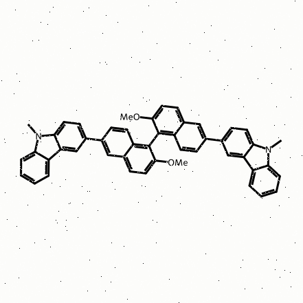 COc1ccc2cc(-c3ccc4c(c3)c3ccccc3n4C)ccc2c1-c1c(OC)ccc2cc(-c3ccc4c(c3)c3ccccc3n4C)ccc12